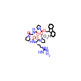 N=C(N)NCCC[C@H](NC(=O)[C@@H]1CCCN1C(=O)CNC(=O)[C@@H]1CCCN1C(=O)OCC1c2ccccc2-c2ccccc21)C(=O)N1CCC[C@H]1C(=O)O